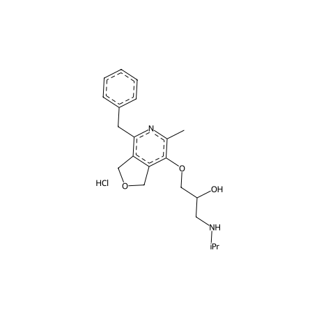 Cc1nc(Cc2ccccc2)c2c(c1OCC(O)CNC(C)C)COC2.Cl